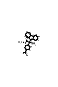 COC(=O)C(N)(c1ccc(C(=O)O)cc1)C1c2ccccc2-c2ccccc21